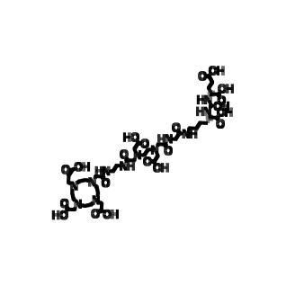 O=C(O)CC[C@H](NC(O)N[C@@H](CCCCNC(=O)CNC(=O)CN(CCN(CC(=O)O)CC(=O)NCCNC(=O)CN1CCN(CC(=O)O)CCN(CC(=O)O)CCN(CC2OC2O)CC1)CC(=O)O)C(=O)O)C(=O)O